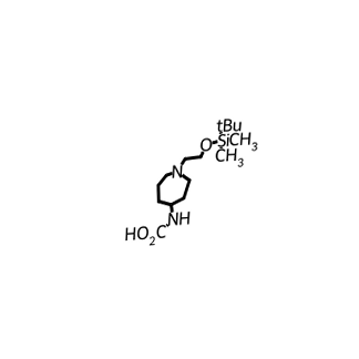 CC(C)(C)[Si](C)(C)OCCN1CCCC(NC(=O)O)CC1